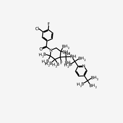 BC(B)(B)c1ccc(C(B)(B)NC(B)(B)C2(F)C(B)(B)CN(C(=O)c3ccc(F)c(Cl)c3)C(B)(B)C2(B)B)nc1